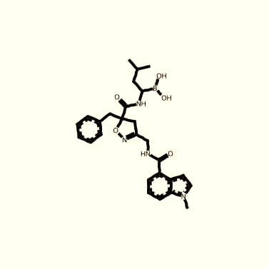 CC(C)CC(NC(=O)C1(Cc2ccccc2)CC(CNC(=O)c2cccc3c2ccn3C)=NO1)B(O)O